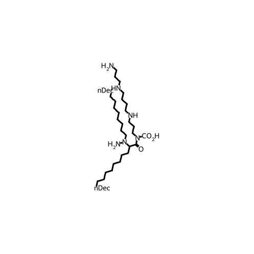 CCCCCCCCCCCCCCCCCCC(C(=O)N(CCCNCCCCNCCCN)C(=O)O)N(N)CCCCCCCCCCCCCCCCCC